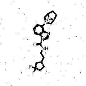 CN1C2CCC1CN(c1cccc3c1ncn3C(=O)NCCC1CCC(F)(F)C1)C2